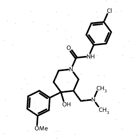 COc1cccc(C2(O)CCN(C(=O)Nc3ccc(Cl)cc3)CC2CN(C)C)c1